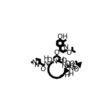 Cc1c(O)ccc2c(O[C@@H]3C[C@H]4C(=O)N[C@]5(C(=O)NS(=O)(=O)C6(C)CC6)C[C@H]5C=CCCCCC[C@H](NC(=O)c5ccn(C)n5)C(=O)N4C3)cc(OC(C)C)nc12